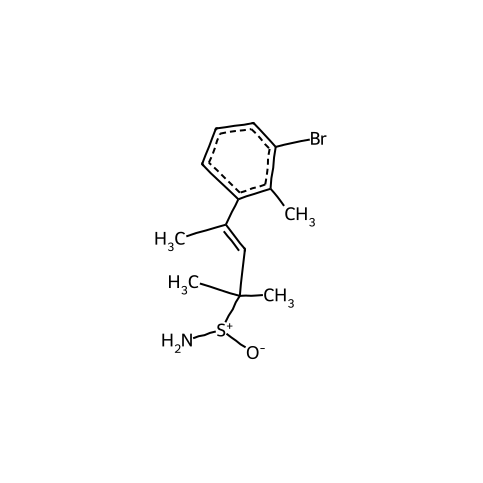 CC(=CC(C)(C)[S+](N)[O-])c1cccc(Br)c1C